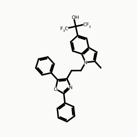 Cc1cc2cc(C(O)(C(F)(F)F)C(F)(F)F)ccc2n1CCc1nc(-c2ccccc2)oc1-c1ccccc1